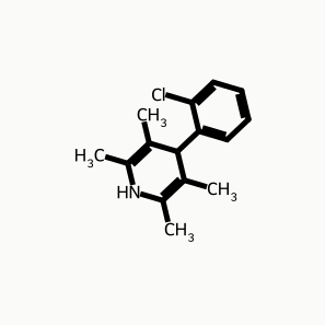 CC1=C(C)C(c2ccccc2Cl)C(C)=C(C)N1